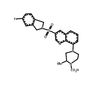 CC(C)(C)C1CN(c2cccc3cc(S(=O)(=O)N4Cc5ccc(F)cc5C4)cnc23)CCN1C(=O)O